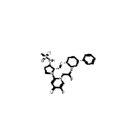 CS(=O)(=O)N[C@H]1CCN(c2cc(=O)c(F)cn2CC(F)F)[C@H]1CO[C@H]1CC[C@@H](c2ccccc2)CC1